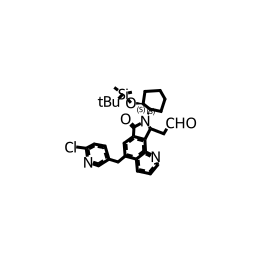 CC(C)(C)[Si](C)(C)O[C@H]1CCCC[C@@H]1N1C(=O)c2cc(Cc3ccc(Cl)nc3)c3cccnc3c2C1CC=O